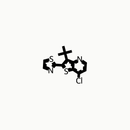 CC(C)(C)c1c(-c2nccs2)sc2c(Cl)ccnc12